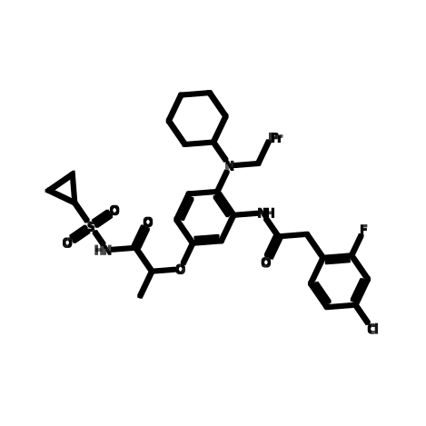 CC(C)CN(c1ccc(OC(C)C(=O)NS(=O)(=O)C2CC2)cc1NC(=O)Cc1ccc(Cl)cc1F)C1CCCCC1